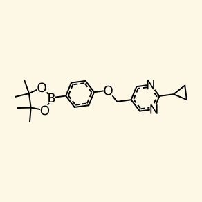 CC1(C)OB(c2ccc(OCc3cnc(C4CC4)nc3)cc2)OC1(C)C